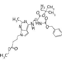 CCOC(=O)CCCn1ccc2c(NC[C@H](NC(=O)OCc3ccccc3)C(=O)OC(C)(C)C)nc(C)nc21